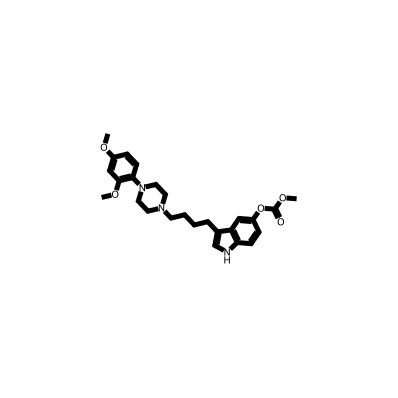 COC(=O)Oc1ccc2[nH]cc(CCCCN3CCN(c4ccc(OC)cc4OC)CC3)c2c1